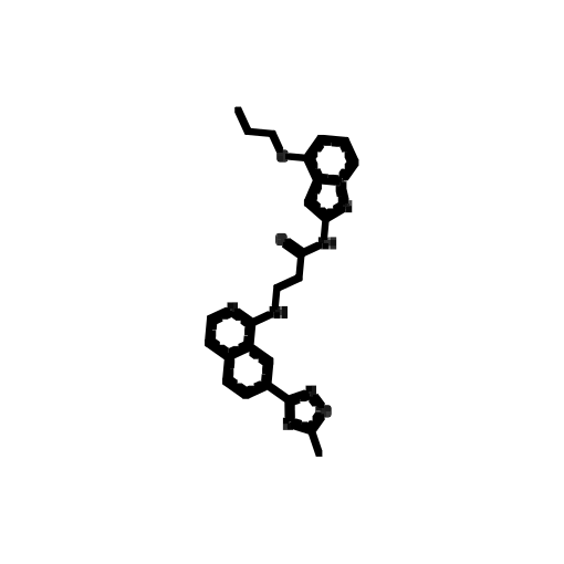 CCCOc1cccn2nc(NC(=O)CCNc3nccc4ccc(-c5noc(C)n5)cc34)cc12